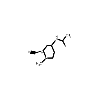 CC(I)NC1CCN(C)[C@@H](C#N)C1